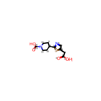 O=C(O)Cc1cnc(C2CCN(C(=O)O)CC2)s1